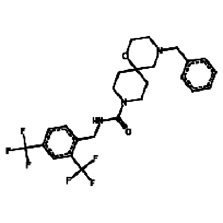 O=C(NCc1ccc(C(F)(F)F)cc1C(F)(F)F)N1CCC2(CC1)CN(Cc1ccccc1)CCO2